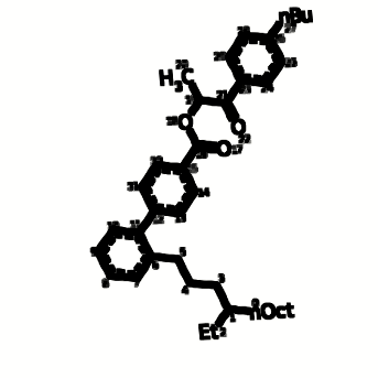 CCCCCCCCC(CC)CCCc1ccccc1-c1ccc(C(=O)OC(C)C(=O)c2ccc(CCCC)cc2)cc1